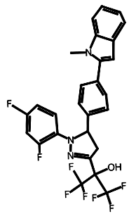 Cn1c(-c2ccc(C3CC(C(O)(C(F)(F)F)C(F)(F)F)=NN3c3ccc(F)cc3F)cc2)cc2ccccc21